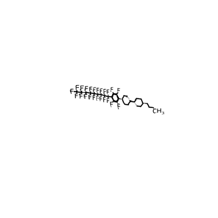 CCCC[C@H]1CC[C@H]([C@H]2CC[C@H](c3c(F)c(F)c(C(F)(F)C(F)(F)C(F)(F)C(F)(F)C(F)(F)C(F)(F)C(F)(F)C(F)(F)C(F)(F)F)c(F)c3F)CC2)CC1